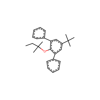 CCC(C)(C)Oc1c(-c2ccccc2)cc(C(C)(C)C)cc1-c1ccccc1